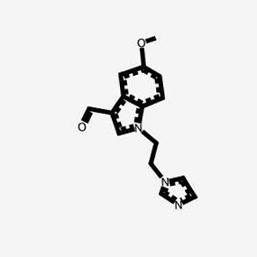 COc1ccc2c(c1)c(C=O)cn2CCn1ccnc1